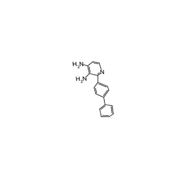 Nc1ccnc(-c2ccc(-c3ccccc3)cc2)c1N